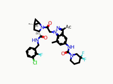 CC(=O)c1nn(CC(=O)N2C3C[C@]3(C)C[C@H]2C(=O)NCc2cccc(Cl)c2F)c2c(C)cc(NC(=O)N3CCCC(F)(F)C3)cc12